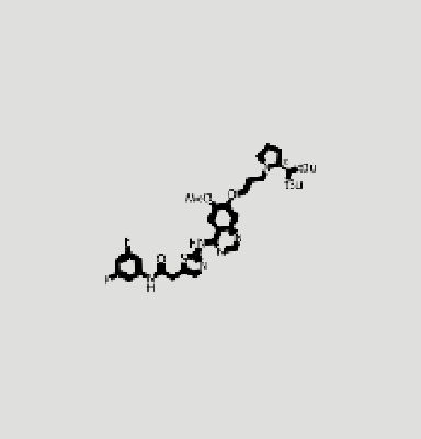 COc1cc2c(Nc3ncc(CC(=O)Nc4cc(F)cc(F)c4)s3)ncnc2cc1OCCCN1CCC[C@H]1[C](C(C)(C)C)C(C)(C)C